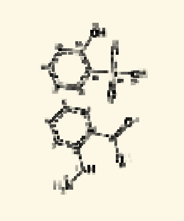 NNc1ccccc1C(=O)O.O=S(=O)(O)c1ccccc1O